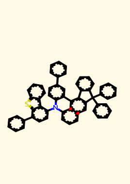 c1ccc(-c2ccc(N(c3ccccc3)c3ccc(-c4ccccc4)c4sc5ccccc5c34)c(-c3cccc4c3-c3ccccc3C4(c3ccccc3)c3ccccc3)c2)cc1